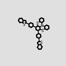 c1ccc2c(c1)Sc1c(-c3ccc(-c4cc5ccccc5s4)cc3)cc(-c3ccc(-c4cc5ccccc5s4)cc3)c3c1B2c1ccccc1S3